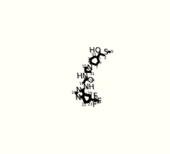 CSCC(O)C1CCC(N2CC(NC(=O)CNc3ncnc4ccc(C(F)(F)F)cc34)C2)CC1